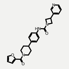 O=C(Nc1ccc(C2CCN(C(=O)c3ccco3)CC2)cc1)N1CC(c2cccnc2)C1